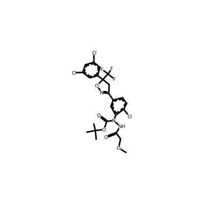 COCC(=O)NN(C(=O)OC(C)(C)C)c1cc(C2=NOC(c3cc(Cl)cc(Cl)c3)(C(F)(F)F)C2)ccc1Cl